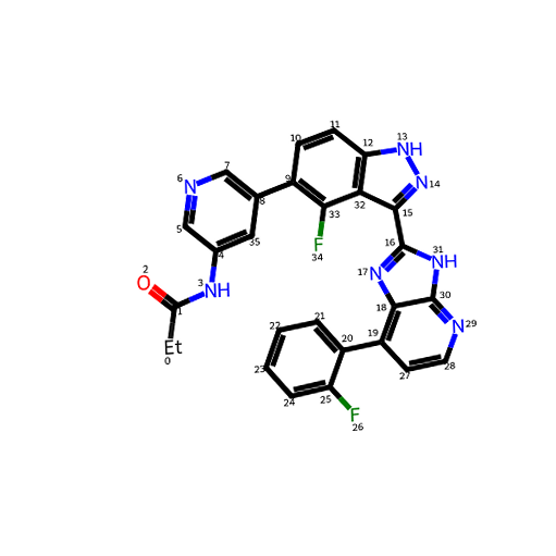 CCC(=O)Nc1cncc(-c2ccc3[nH]nc(-c4nc5c(-c6ccccc6F)ccnc5[nH]4)c3c2F)c1